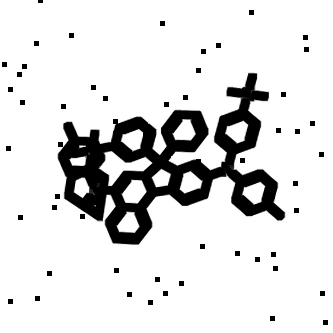 Cc1ccc(N(c2ccc([Si](C)(C)C)cc2)c2ccc3c(c2)C(c2ccccc2)(c2ccccc2)C2C=C(N(c4ccc(C)cc4)C45CCC([Si](C)(C)C)=CC4C5)c4ccccc4C32)cc1